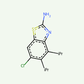 CC(C)c1c(Cl)cc2sc(N)nc2c1C(C)C